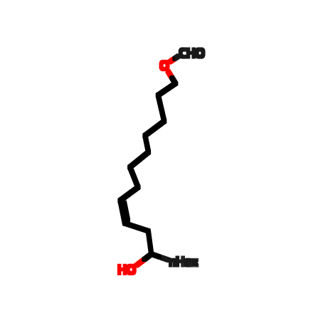 CCCCCCC(O)C/C=C\CCCCCCCOC=O